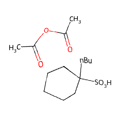 CC(=O)OC(C)=O.CCCCC1(S(=O)(=O)O)CCCCC1